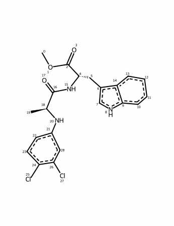 COC(=O)[C@H](Cc1c[nH]c2ccccc12)NC(=O)[C@H](C)Nc1ccc(Cl)c(Cl)c1